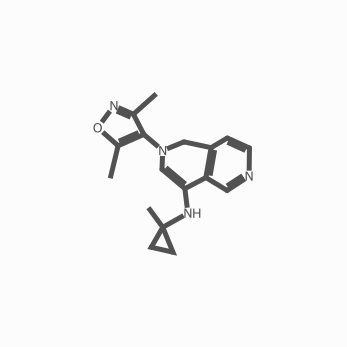 Cc1noc(C)c1N1C=C(NC2(C)CC2)c2cnccc2C1